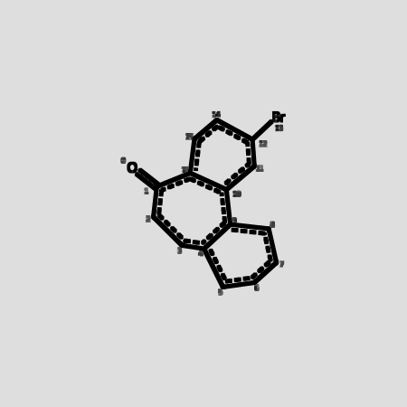 O=c1ccc2ccccc2c2cc(Br)ccc12